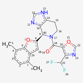 Cc1ccc(C)c2oc([C@H]3c4nc[nH]c4CCN3C(=O)c3ocnc3C(F)F)cc12